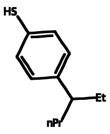 CCCC(CC)c1ccc(S)cc1